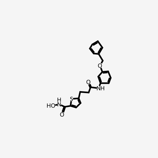 O=C(CCc1ccc(C(=O)NO)s1)Nc1cccc(OCc2ccccc2)c1